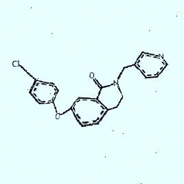 O=C1c2cc(Oc3ccc(Cl)cc3)ccc2CCN1Cc1cccnc1